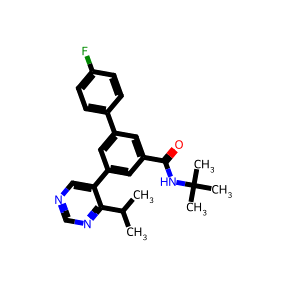 CC(C)c1ncncc1-c1cc(C(=O)NC(C)(C)C)cc(-c2ccc(F)cc2)c1